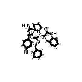 NC(=O)[C@]1(CCc2ccc(N)cc2)CCCN1N(C(=O)OCc1ccccc1)[C@H](Cc1ccccc1)C(=O)O